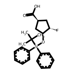 CC(C)(C)[Si](O[C@H]1C[C@@H](C(=O)O)C[C@@H]1F)(c1ccccc1)c1ccccc1